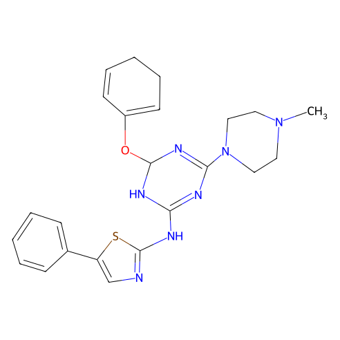 CN1CCN(C2=NC(OC3=CCCC=C3)NC(Nc3ncc(-c4ccccc4)s3)=N2)CC1